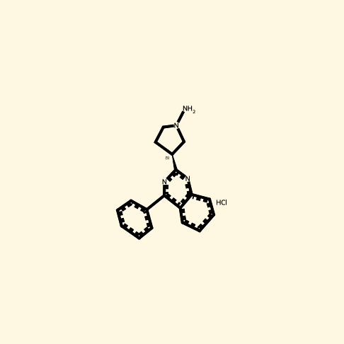 Cl.NN1CC[C@H](c2nc(-c3ccccc3)c3ccccc3n2)C1